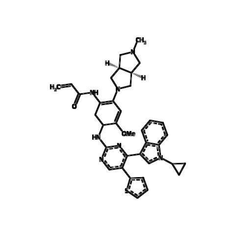 C=CC(=O)NC1=C(N2C[C@H]3CN(C)C[C@H]3C2)C=C(OC)C(Nc2ncc(-c3cccs3)c(-c3cn(C4CC4)c4ccccc34)n2)C1